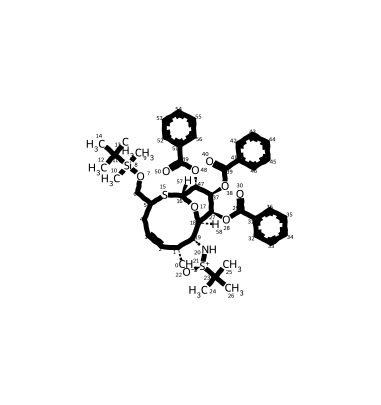 C[C@@H]1C=CCC(CO[Si](C)(C)C(C)(C)C)S[C@H]2O[C@H]([C@@H]1N[S@+]([O-])C(C)(C)C)[C@H](OC(=O)c1ccccc1)[C@H](OC(=O)c1ccccc1)[C@H]2OC(=O)c1ccccc1